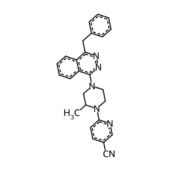 CC1CN(c2nnc(Cc3ccccc3)c3ccccc23)CCN1c1ccc(C#N)cn1